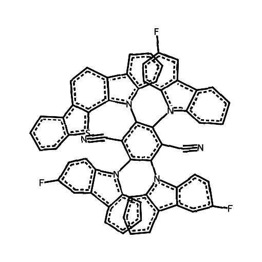 N#Cc1c(-n2c3ccccc3c3cc(F)ccc32)c(-n2c3ccccc3c3cc(F)ccc32)c(C#N)c(-n2c3ccccc3c3ccc4c5ccccc5sc4c32)c1-n1c2ccccc2c2cc(F)ccc21